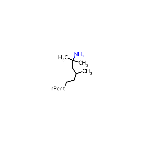 CCCCCCCC(C)CC(C)(C)N